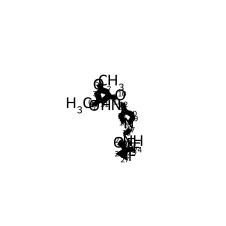 COc1cc(OC)cc(C(=O)NCC2CCN(CCNC(=O)C3(C(F)(F)F)CC3)CC2)c1